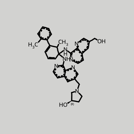 Cc1ccccc1C1=CC=CC(Nc2nccc3cc(CO)cnc23)(Nc2nccc3cc(CN4CC[C@@H](O)C4)cnc23)C1C